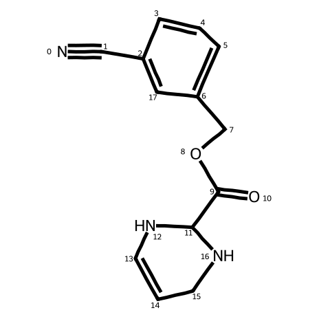 N#Cc1cccc(COC(=O)C2NC=CCN2)c1